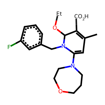 CCOC1C(C(=O)O)=C(C)C=C(N2CCCOCC2)N1Cc1cccc(F)c1